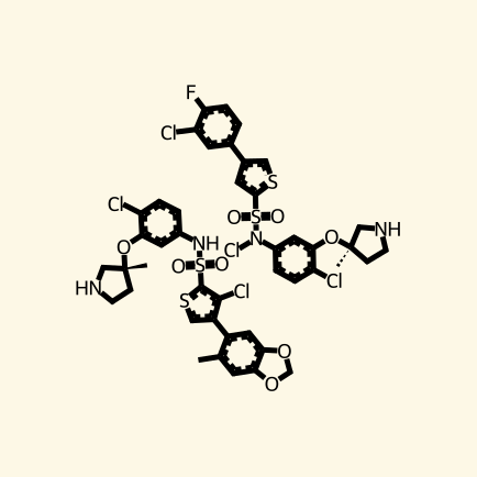 C[C@@]1(Oc2cc(N(Cl)S(=O)(=O)c3cc(-c4ccc(F)c(Cl)c4)cs3)ccc2Cl)CCNC1.Cc1cc2c(cc1-c1csc(S(=O)(=O)Nc3ccc(Cl)c(O[C@]4(C)CCNC4)c3)c1Cl)OCO2